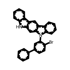 Brc1ccc(-c2ccccc2)cc1-n1c2ccccc2c2cc3c(cc21)[nH]c1ccccc13